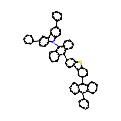 c1ccc(-c2ccc3c(c2)c2cc(-c4ccccc4)ccc2n3-c2c3ccccc3c(-c3ccc4c(c3)sc3ccc(-c5c6ccccc6c(-c6ccccc6)c6ccccc56)cc34)c3ccccc23)cc1